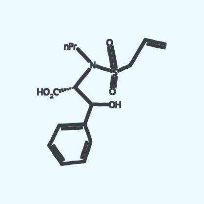 C=CCS(=O)(=O)N(CCC)[C@@H](C(=O)O)C(O)c1ccccc1